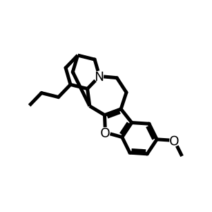 CCCC1CC2CC3c4oc5ccc(OC)cc5c4CCN(C2)C13